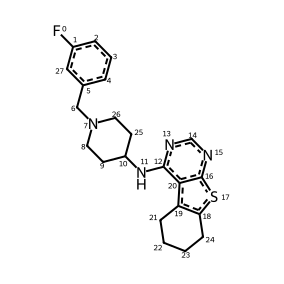 Fc1cccc(CN2CCC(Nc3ncnc4sc5c(c34)CCCC5)CC2)c1